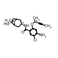 CC#C[C@H](C)Oc1cc(N)c(Cl)cc1C(=O)N[C@@H]1CC2C[C@@H](O)C(C1)N2C